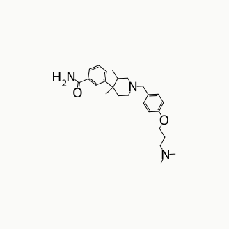 CC1CN(Cc2ccc(OCCCN(C)C)cc2)CCC1(C)c1cccc(C(N)=O)c1